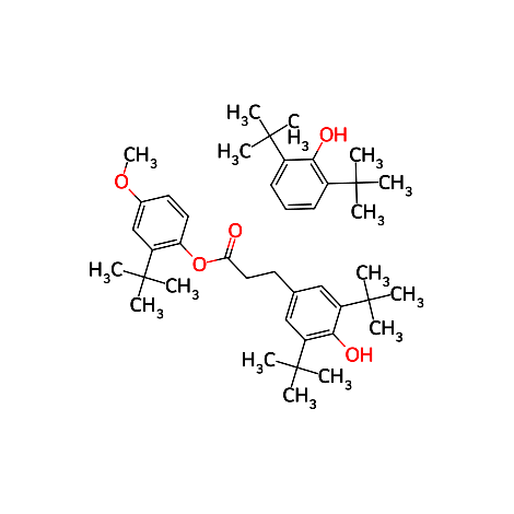 CC(C)(C)c1cccc(C(C)(C)C)c1O.COc1ccc(OC(=O)CCc2cc(C(C)(C)C)c(O)c(C(C)(C)C)c2)c(C(C)(C)C)c1